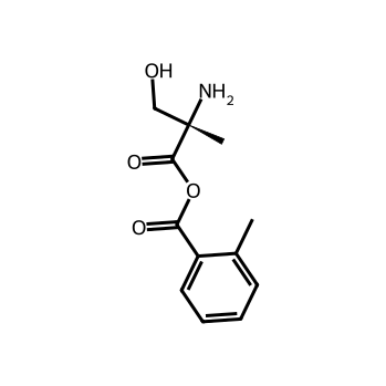 Cc1ccccc1C(=O)OC(=O)[C@@](C)(N)CO